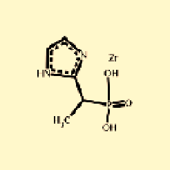 CC(c1ncc[nH]1)P(=O)(O)O.[Zr]